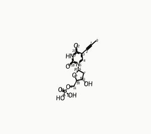 CC#Cc1cn([C@H]2C[C@H](O)[C@@H](COP(=O)(O)O)O2)c(=O)[nH]c1=O